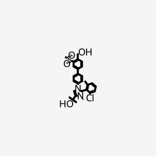 Cc1cccc(Cl)c1C1N(C)C(C(C)(C)O)=CN1c1ccc(-c2ccc(CO)c(S(C)(=O)=O)c2)cc1